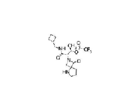 C[C@@H](OC(=O)C(F)(F)F)[C@@H](C(=O)NCC1CCC1)N1CC2(CCCN2)C1=O